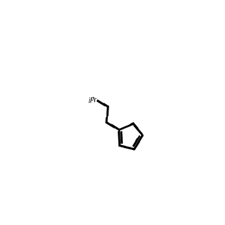 CC(C)CCC1=CC=CC1